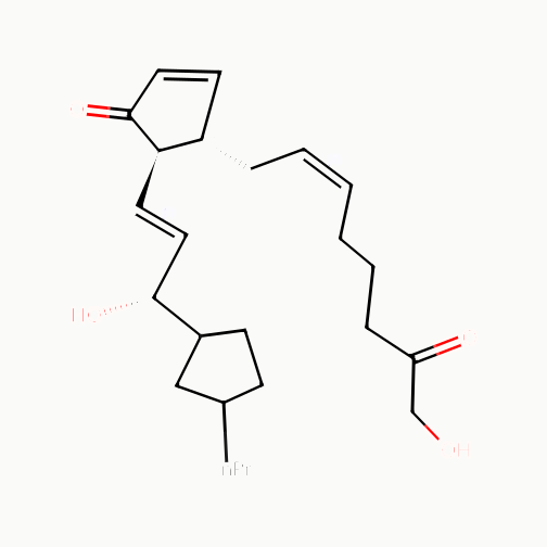 CCCC1CCC([C@H](O)/C=C/[C@H]2C(=O)C=C[C@@H]2C/C=C\CCCC(=O)CO)C1